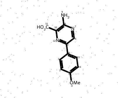 COc1ccc(-c2cnc(N)c(C(=O)O)n2)cc1